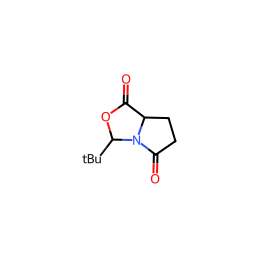 CC(C)(C)C1OC(=O)C2CCC(=O)N21